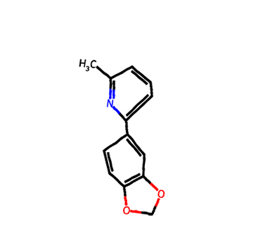 Cc1cccc(-c2ccc3c(c2)OCO3)n1